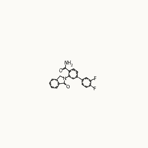 NC(=O)c1ccc(-c2ccc(F)c(F)c2)cc1N1Cc2ccccc2C1=O